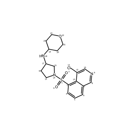 O=S(=O)(c1cccc2cncc(Cl)c12)N1CCC(NC2CCOCC2)C1